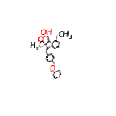 CCc1cccc2c1C(CC(=O)O)=C(C)/C2=C/c1ccc(COc2ccccc2)cc1